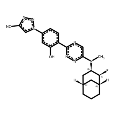 CN(c1cnc(-c2ccc(-n3cc(C#N)nn3)cc2O)nn1)[C@@H]1C[C@H]2CCC[C@H](C2)[C@@H]1F